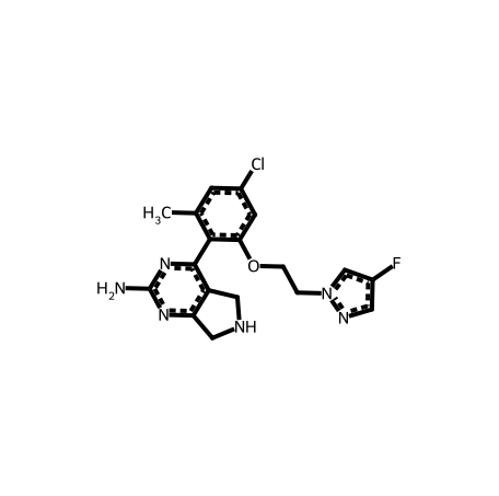 Cc1cc(Cl)cc(OCCn2cc(F)cn2)c1-c1nc(N)nc2c1CNC2